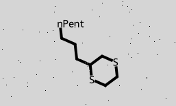 [CH2]CCCCCCCC1CSCCS1